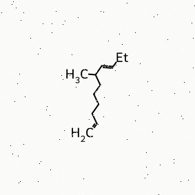 C=CCCCCC(C)C=CCC